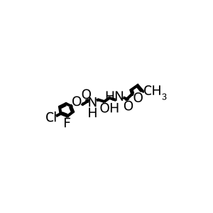 Cc1ccc(C(=O)NCCC(O)CNC(=O)COc2ccc(Cl)c(F)c2)o1